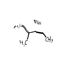 C=C(C)CC.[NaH]